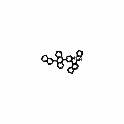 C1=CCC2C=C(c3c4ccccc4c(-c4ccc5c(c4)c4c6ccccc6ccc4c4nc6ccccc6n54)c4ccccc34)C=CC2=C1